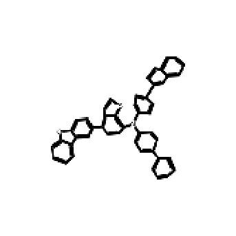 c1ccc(-c2ccc(N(c3ccc(-c4ccc5ccccc5c4)cc3)c3ccc(-c4ccc5oc6ccccc6c5c4)c4ccsc34)cc2)cc1